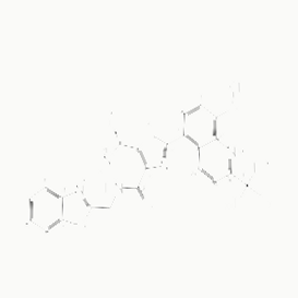 COc1ccc(-c2nc(C(=O)NCc3nc4ccccc4o3)c([C@H](C)N)o2)c2ccc(C(F)(F)F)nc12